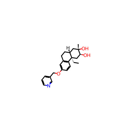 CC[C@@]12C[C@H](O)[C@@](C)(O)C[C@H]1CCc1cc(OCc3cccnc3)ccc12